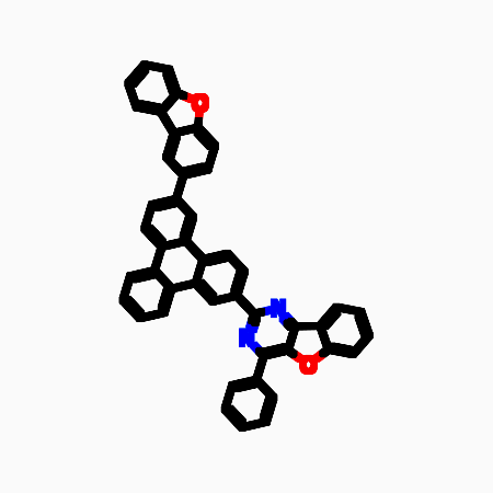 c1ccc(-c2nc(-c3ccc4c5cc(-c6ccc7oc8ccccc8c7c6)ccc5c5ccccc5c4c3)nc3c2oc2ccccc23)cc1